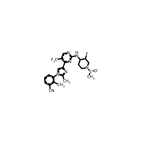 Cc1c(C#N)cccc1-n1cc(-c2nc(NC3CCN([S+](C)[O-])CC3F)ncc2C(F)(F)F)nc1C